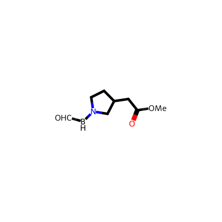 COC(=O)CC1CCN(BC=O)C1